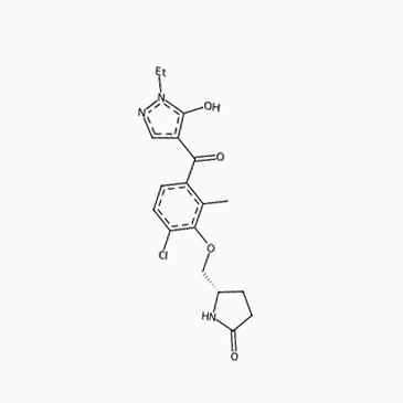 CCn1ncc(C(=O)c2ccc(Cl)c(OC[C@@H]3CCC(=O)N3)c2C)c1O